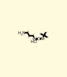 CC(C)(C)N=C=NCCCN.Cl